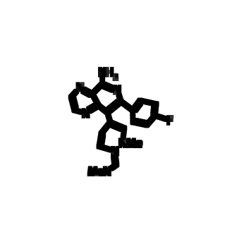 CN\C=N/C=C\C(=C/NC)c1c(-c2ccc(F)cc2)nc(N)c2nccnc12